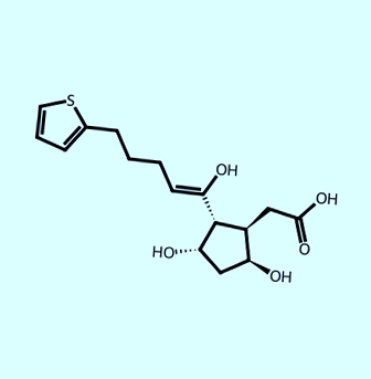 O=C(O)C[C@@H]1[C@@H](C(O)=CCCCc2cccs2)[C@@H](O)C[C@@H]1O